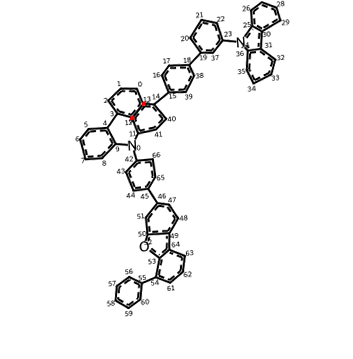 c1ccc(-c2ccccc2N(c2ccc(-c3ccc(-c4cccc(-n5c6ccccc6c6ccccc65)c4)cc3)cc2)c2ccc(-c3ccc4c(c3)oc3c(-c5ccccc5)cccc34)cc2)cc1